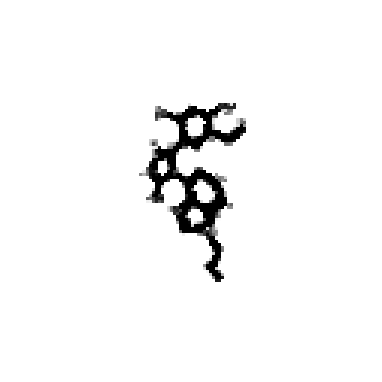 CCCn1cnc2c(-n3c(S)nnc3-c3cc(CC)c(O)cc3O)cccc21